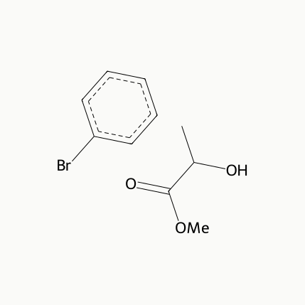 Brc1ccccc1.COC(=O)C(C)O